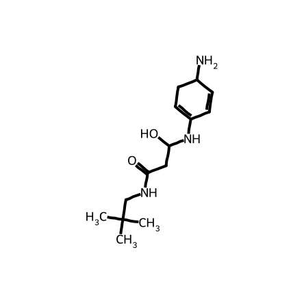 CC(C)(C)CNC(=O)CC(O)NC1=CCC(N)C=C1